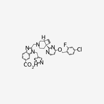 O=C(O)c1ccc2nc(CN3CC[C@@]4(c5nccc(OCc6ccc(Cl)cc6F)n5)C#C[C@H]4C3)n(Cc3cncs3)c2c1